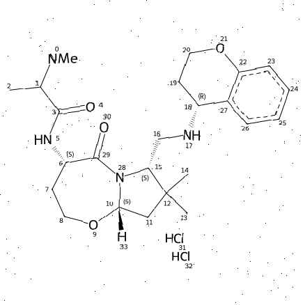 CNC(C)C(=O)N[C@H]1CCO[C@H]2CC(C)(C)[C@@H](CN[C@@H]3CCOc4ccccc43)N2C1=O.Cl.Cl